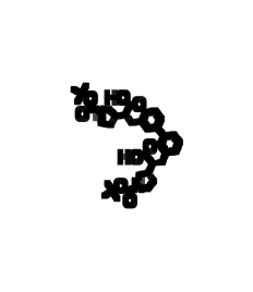 CC(C)(C)OC(=O)N1CC[C@H]([C@H](Cc2cccc(-c3cccc(C[C@H](C(=O)O)[C@H]4CCN(C(=O)OC(C)(C)C)C4)c3)c2)C(=O)O)C1